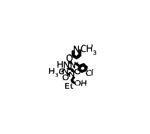 CCC(O)CCn1c(=O)c2c(n(C)c1=O)NC(Oc1ccc(C)nc1)N2Cc1ccc(Cl)cc1